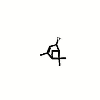 CC1=CC([O])C2CC1C2(C)C